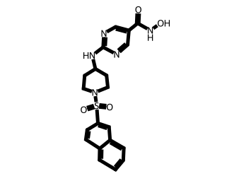 O=C(NO)c1cnc(NC2CCN(S(=O)(=O)c3ccc4ccccc4c3)CC2)nc1